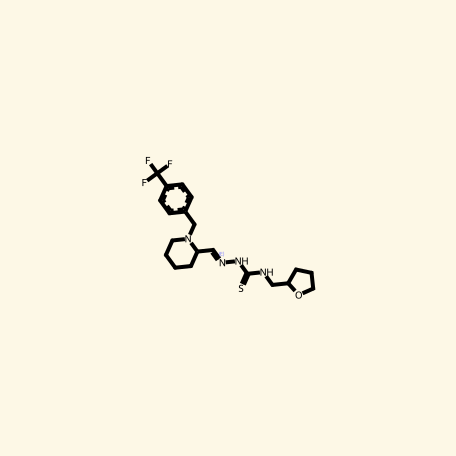 FC(F)(F)c1ccc(CN2CCCCC2/C=N/NC(=S)NCC2CCCO2)cc1